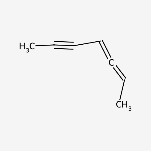 CC#CC=C=CC